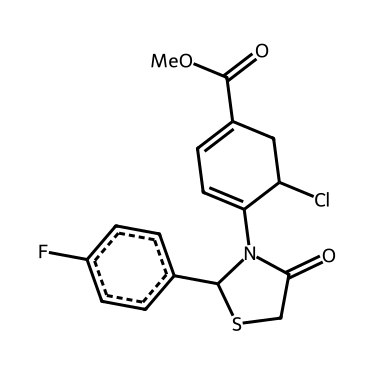 COC(=O)C1=CC=C(N2C(=O)CSC2c2ccc(F)cc2)C(Cl)C1